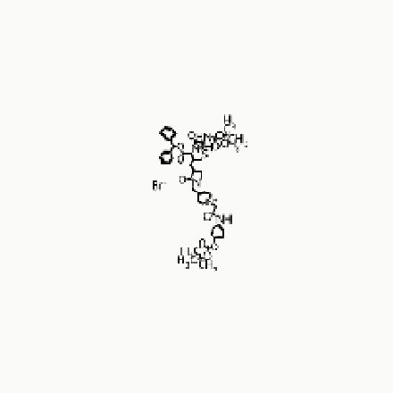 CC(C)(C)OC(=O)N[C@@H]1C(=O)N2C(C(=O)OC(c3ccccc3)c3ccccc3)=C(C=C3CCN(Cc4cc[n+](CC(=O)Nc5ccc(OC(=O)OC(C)(C)C)cc5)cc4)C3=O)CS[C@H]12.[Br-]